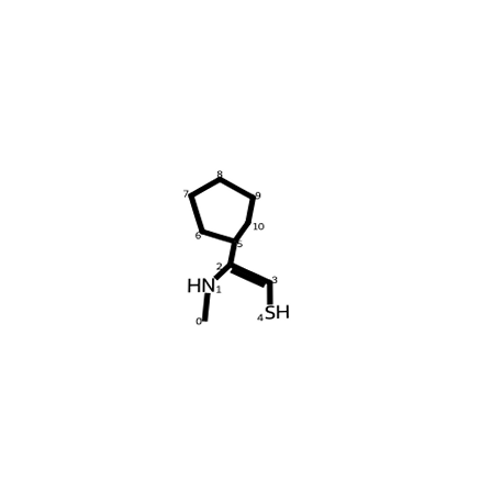 CN/C(=C\S)C1CCCCC1